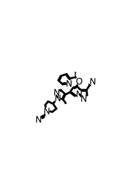 Cc1c(-c2cc(O[C@H](C)c3ccccn3)c3c(C#N)cnn3c2)cnn1C1CCN(C#N)CC1